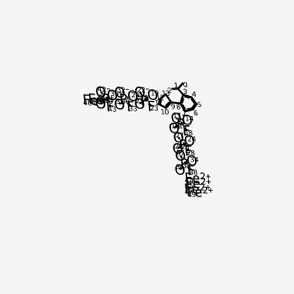 CC(C)c1ccccc1C1=CC=CC1.O=P([O-])([O-])F.O=P([O-])([O-])F.O=P([O-])([O-])F.O=P([O-])([O-])F.O=P([O-])([O-])F.O=P([O-])([O-])F.[Fe+2].[Fe+2].[Fe+2].[Fe+2].[Fe+2].[Fe+2]